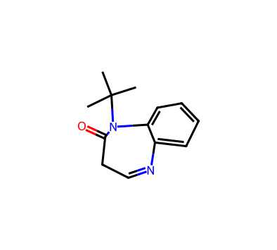 CC(C)(C)N1C(=O)CC=Nc2ccccc21